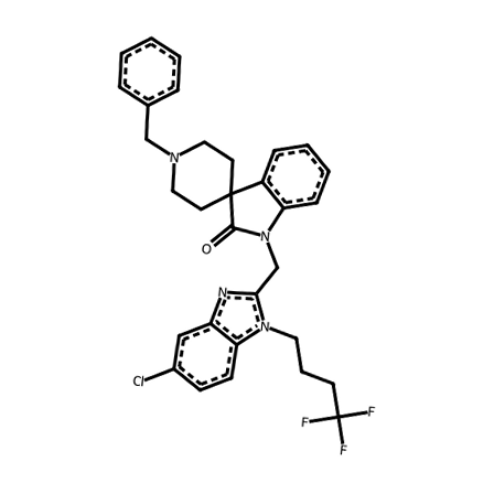 O=C1N(Cc2nc3cc(Cl)ccc3n2CCCC(F)(F)F)c2ccccc2C12CCN(Cc1ccccc1)CC2